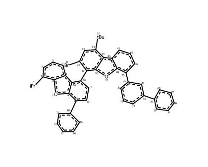 CC(C)c1cccc2c1oc1c(-c3ccccc3)ccc(-c3c(Br)cc(C(C)(C)C)c4c3oc3c(-c5cccc(-c6ccccc6)c5)cccc34)c12